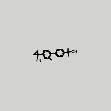 CC(C)(O)c1ccc(-c2ccc(C3(C#N)CC3)cc2F)cc1